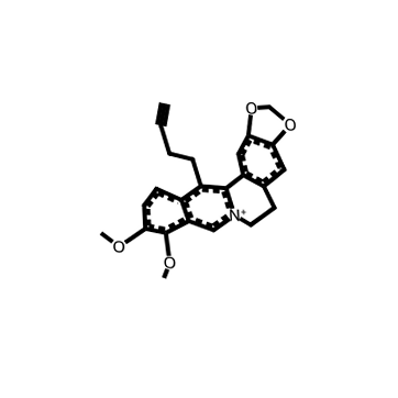 C#CCCc1c2[n+](cc3c(OC)c(OC)ccc13)CCc1cc3c(cc1-2)OCO3